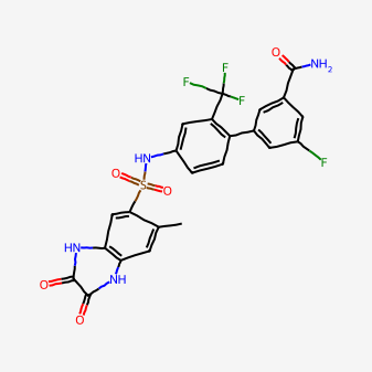 Cc1cc2[nH]c(=O)c(=O)[nH]c2cc1S(=O)(=O)Nc1ccc(-c2cc(F)cc(C(N)=O)c2)c(C(F)(F)F)c1